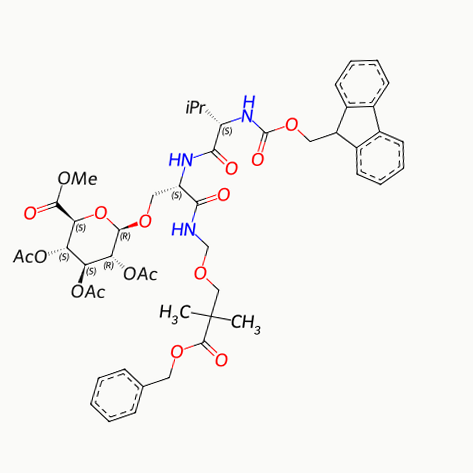 COC(=O)[C@H]1O[C@@H](OC[C@H](NC(=O)[C@@H](NC(=O)OCC2c3ccccc3-c3ccccc32)C(C)C)C(=O)NCOCC(C)(C)C(=O)OCc2ccccc2)[C@H](OC(C)=O)[C@@H](OC(C)=O)[C@@H]1OC(C)=O